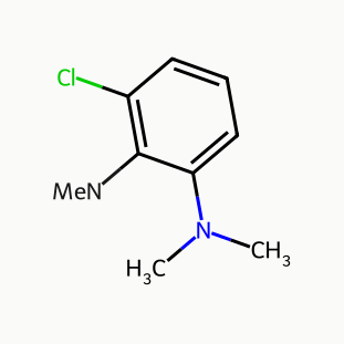 CNc1c(Cl)cccc1N(C)C